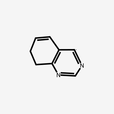 [c]1ncnc2c1C=CCC2